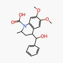 COc1cc2c(cc1OC)N(C(=O)O)C(C)CC2C(O)c1ccccc1